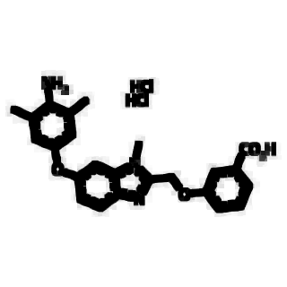 Cc1cc(Oc2ccc3nc(COc4cccc(C(=O)O)c4)n(C)c3c2)cc(C)c1N.Cl.Cl